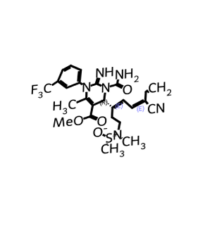 C=C/C(C#N)=C\C=C(/CCN(C)[S+](C)[O-])[C@@H]1C(C(=O)OC)=C(C)N(c2cccc(C(F)(F)F)c2)C(=N)N1C(N)=O